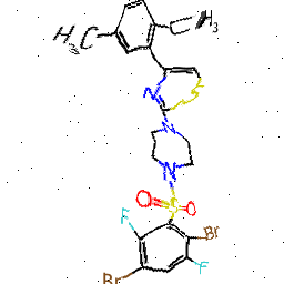 Cc1ccc(C)c(-c2csc(N3CCN(S(=O)(=O)c4c(F)c(Br)cc(F)c4Br)CC3)n2)c1